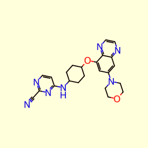 N#Cc1nccc(NC2CCC(Oc3cc(N4CCOCC4)cc4nccnc34)CC2)n1